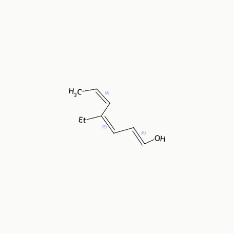 C\C=C/C(=C\C=C\O)CC